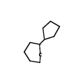 C1CC[C](C2CCCC2)CC1